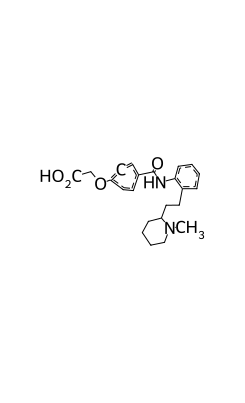 CN1CCCCC1CCc1ccccc1NC(=O)c1ccc(OCC(=O)O)cc1